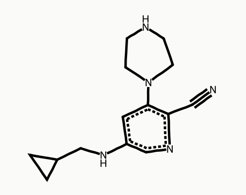 N#Cc1ncc(NCC2CC2)cc1N1CCNCC1